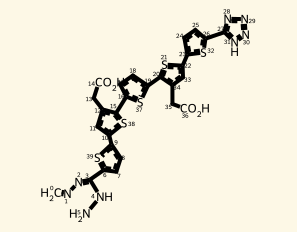 C=N/N=C(\NN)c1ccc(-c2cc(CC(=O)O)c(-c3ccc(-c4sc(-c5ccc(-c6nnn[nH]6)s5)cc4CC(=O)O)s3)s2)s1